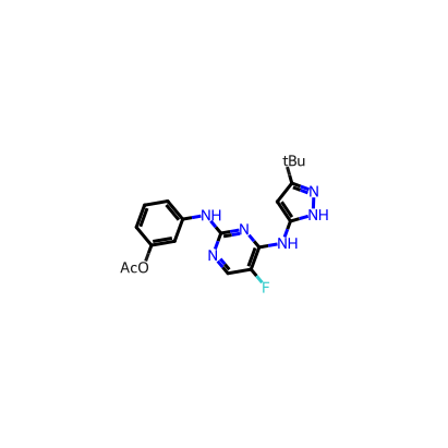 CC(=O)Oc1cccc(Nc2ncc(F)c(Nc3cc(C(C)(C)C)n[nH]3)n2)c1